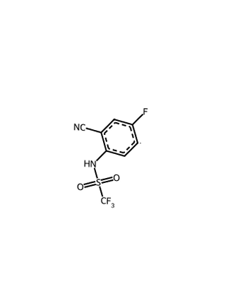 N#Cc1cc(F)[c]cc1NS(=O)(=O)C(F)(F)F